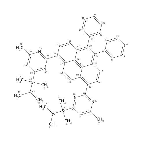 Cc1cc(S(C)(C)C(C)C)nc(-c2ccc3c(-c4ccccc4)c(-c4ccccc4)c4ccc(-c5nc(C)cc(S(C)(C)C(C)C)n5)c5ccc2c3c54)n1